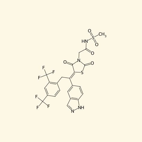 CS(=O)(=O)NC(=O)CN1C(=O)S/C(=C(/Cc2ccc(C(F)(F)F)cc2C(F)(F)F)c2ccc3[nH]ncc3c2)C1=O